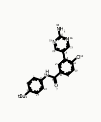 CC(C)(C)c1ccc(NC(=O)c2ccc(Cl)c(-c3cnc(N)nc3)c2)cc1